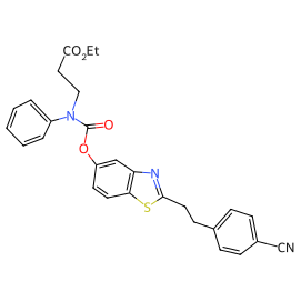 CCOC(=O)CCN(C(=O)Oc1ccc2sc(CCc3ccc(C#N)cc3)nc2c1)c1ccccc1